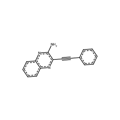 Nc1nc2ccccc2nc1C#Cc1ccccc1